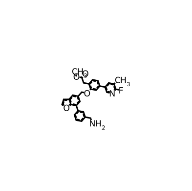 COC(=O)Cc1ccc(-c2cnc(F)c(C)c2)cc1OCc1cc(-c2cccc(CN)c2)c2occc2c1